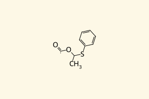 CC(O[C]=O)Sc1ccccc1